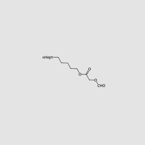 CCCCCCCCCCCCOC(=O)COC=O